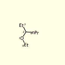 [CH2]COC(CC)CCC